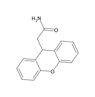 NC(=O)CC1c2ccccc2Oc2ccccc21